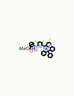 COC(=O)[C@H]1C2CCC(CC2)C1Nc1nc(-c2nn(C(c3ccccc3)(c3ccccc3)c3ccccc3)c3ncc(F)cc23)c(F)cc1F